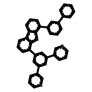 c1ccc(-c2cccc(-c3cccc4c3sc3c(-c5cc(-c6cccnc6)cc(-c6cccnc6)c5)cccc34)c2)cc1